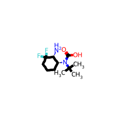 CC(C)(C)N(C(=O)O)[C@@H]1CCCC(F)(F)[C@@H]1N